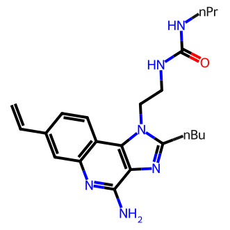 C=Cc1ccc2c(c1)nc(N)c1nc(CCCC)n(CCNC(=O)NCCC)c12